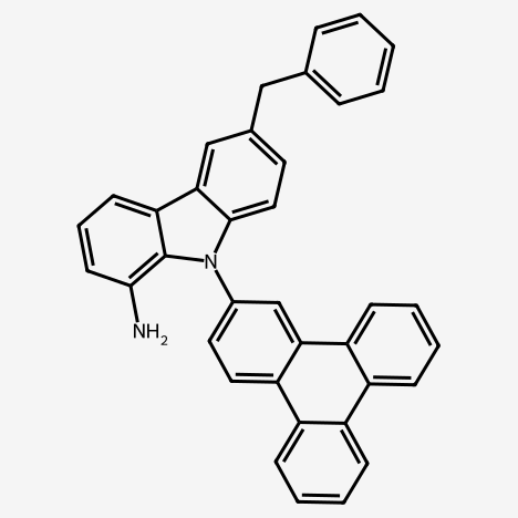 Nc1cccc2c3cc(Cc4ccccc4)ccc3n(-c3ccc4c5ccccc5c5ccccc5c4c3)c12